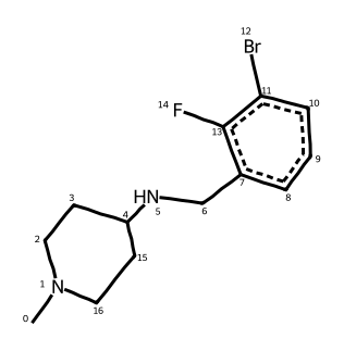 CN1CCC(NCc2cccc(Br)c2F)CC1